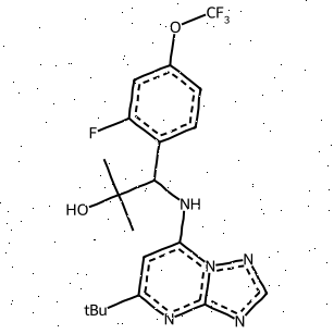 CC(C)(C)c1cc(NC(c2ccc(OC(F)(F)F)cc2F)C(C)(C)O)n2ncnc2n1